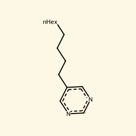 CCCCCCCCCCc1cn[c]nc1